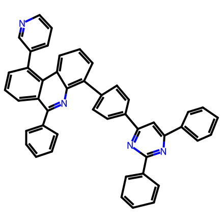 c1ccc(-c2cc(-c3ccc(-c4cccc5c4nc(-c4ccccc4)c4cccc(-c6cccnc6)c45)cc3)nc(-c3ccccc3)n2)cc1